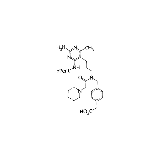 CCCCCNc1nc(N)nc(C)c1CCCN(Cc1ccc(CC(=O)O)cc1)C(=O)CN1CCCCC1